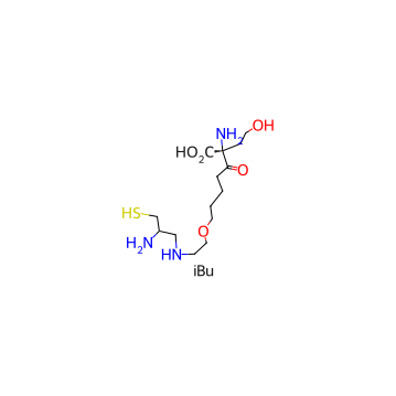 CC[C@H](C)C(COCCCCC(=O)[C@](N)(CCO)C(=O)O)NCC(N)CS